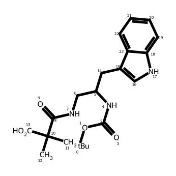 CC(C)(C)OC(=O)NC(CNC(=O)C(C)(C)C(=O)O)Cc1c[nH]c2ccccc12